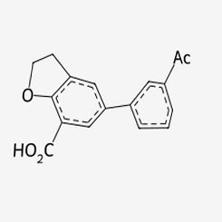 CC(=O)c1cccc(-c2cc3c(c(C(=O)O)c2)OCC3)c1